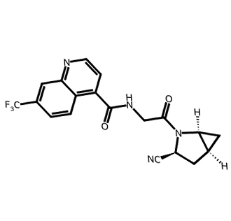 N#C[C@@H]1C[C@@H]2C[C@@H]2N1C(=O)CNC(=O)c1ccnc2cc(C(F)(F)F)ccc12